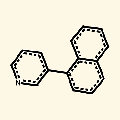 [c]1ncccc1-c1cccc2ccccc12